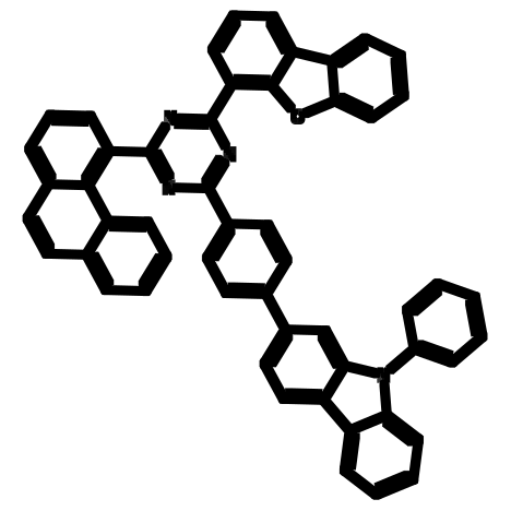 c1ccc(-n2c3ccccc3c3ccc(-c4ccc(-c5nc(-c6cccc7c6oc6ccccc67)nc(-c6cccc7ccc8ccccc8c67)n5)cc4)cc32)cc1